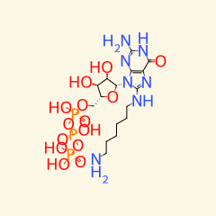 NCCCCCCNc1nc2c(=O)[nH]c(N)nc2n1[C@@H]1O[C@H](COP(=O)(O)OP(=O)(O)OP(=O)(O)O)[C@@H](O)[C@H]1O